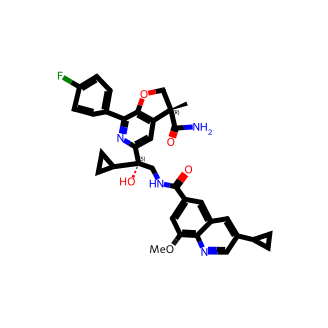 COc1cc(C(=O)NC[C@](O)(c2cc3c(c(-c4ccc(F)cc4)n2)OC[C@]3(C)C(N)=O)C2CC2)cc2cc(C3CC3)cnc12